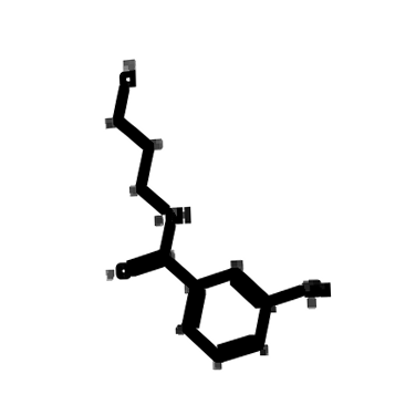 CC(C)(C)c1cccc(C(=O)NCCCCl)c1